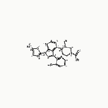 CC(C)C(=O)N1CCN(c2ncnc3c2c(-c2ccccc2F)cn3-c2ncc(C#N)s2)[C@@H](C)C1